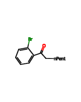 CCCCCCC(=O)c1ccccc1Br